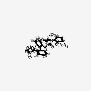 CCCCc1cn(C2C(C)CCC2C(C)C)c(=O)n1Cc1cnccc1-c1ccccc1-c1nnn[nH]1